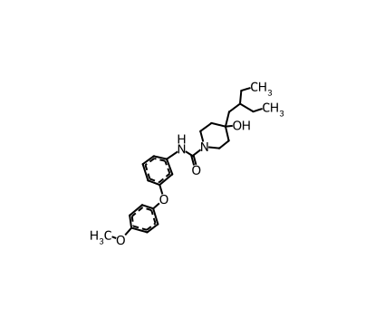 CCC(CC)CC1(O)CCN(C(=O)Nc2cccc(Oc3ccc(OC)cc3)c2)CC1